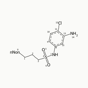 CCCCCCCCCCCCS(=O)(=O)Nc1ccc(Cl)c(N)c1